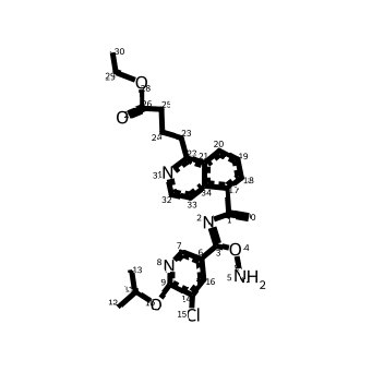 C=C(/N=C(\ON)c1cnc(OC(C)C)c(Cl)c1)c1cccc2c(CCCC(=O)OCC)nccc12